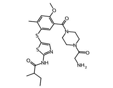 CCC(C)C(=O)Nc1ncc(Sc2cc(C(=O)N3CCN(C(=O)CN)CC3)c(OC)cc2C)s1